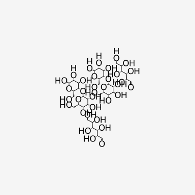 O=C[C@H](O)[C@@H](O)[C@H](O)[C@H](O)CO.O=C[C@H](O)[C@@H](O)[C@H](O)[C@H](O)CO.OC[C@H]1O[C@H](O[C@H]2[C@H](O)[C@@H](O)[C@H](O)O[C@@H]2CO)[C@H](O)[C@@H](O)[C@@H]1O.OC[C@H]1O[C@H](O[C@H]2[C@H](O)[C@@H](O)[C@H](O)O[C@@H]2CO)[C@H](O)[C@@H](O)[C@@H]1O